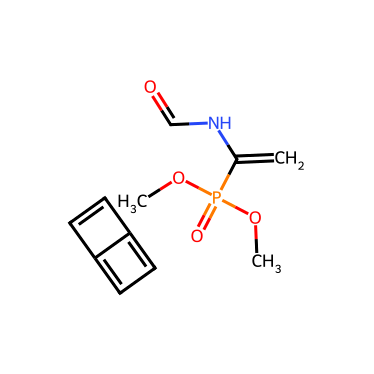 C=C(NC=O)P(=O)(OC)OC.c1cc2ccc1-2